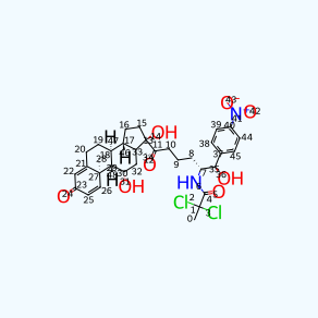 CC(Cl)(Cl)C(=O)N[C@H](CCCC(=O)[C@@]1(O)CC[C@H]2[C@@H]3CCC4=CC(=O)C=C[C@]4(C)[C@H]3[C@@H](O)C[C@@]21C)[C@H](O)c1ccc([N+](=O)[O-])cc1